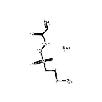 C=CC(=O)NOS(=O)(=O)CCCC.[NaH]